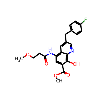 COCCC(=O)Nc1cc(C(=O)OC)c(O)c2ncc(Cc3ccc(F)cc3)cc12